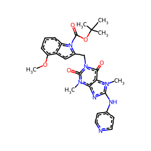 COc1cccc2c1cc(Cn1c(=O)c3c(nc(Nc4ccncc4)n3C)n(C)c1=O)n2C(=O)OC(C)(C)C